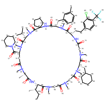 CC[C@H](C)[C@@H]1NC(=O)[C@H](C)N(C)C(=O)C[C@@H](C(=O)N2CCCCC2)N(C)C(=O)[C@H](C(C)C)N(C)C(=O)C2(CCCC2)NC(=O)[C@H](Cc2cccc(C)c2)N(C)C(=O)[C@H](CCc2ccc(C(F)(F)F)c(Cl)c2)NC(=O)CN(C)C(=O)[C@H](CC2CCCCC2)N(C)C(=O)CN(C)C(=O)CN(C)C1=O